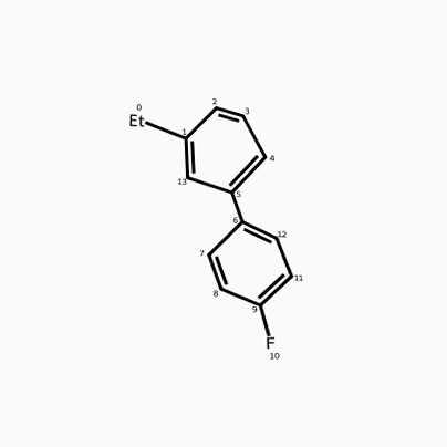 CCc1cccc(-c2ccc(F)cc2)c1